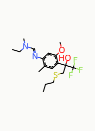 CCCSCC(O)(c1cc(C)c(N=CN(C)CC)cc1OC)C(F)(F)F